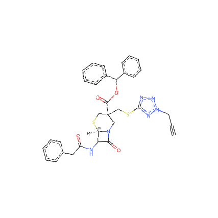 C#CCn1nnc(SCC2(C(=O)OC(c3ccccc3)c3ccccc3)CS[C@@H]3C(NC(=O)Cc4ccccc4)C(=O)N3C2)n1